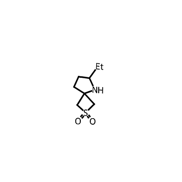 CCC1CCC2(CS(=O)(=O)C2)N1